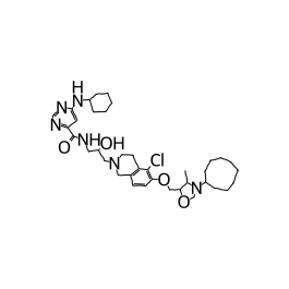 CC1C(COc2ccc3c(c2Cl)CCN(C[C@@H](O)CNC(=O)c2cc(NC4CCCCC4)ncn2)C3)OCN1C1CCCCCCCC1